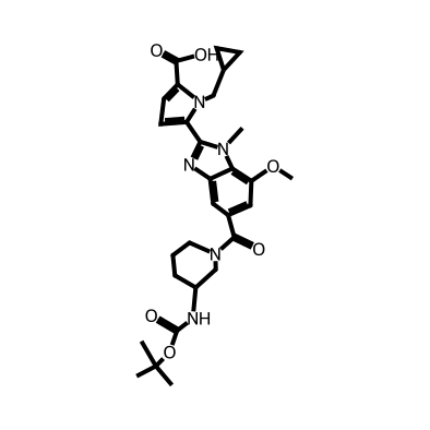 COc1cc(C(=O)N2CCCC(NC(=O)OC(C)(C)C)C2)cc2nc(-c3ccc(C(=O)O)n3CC3CC3)n(C)c12